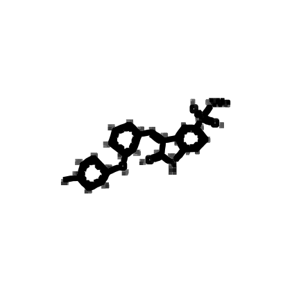 CNS(=O)(=O)c1ccc2c(c1)C(=Cc1cccc(Oc3ccc(C)cc3)c1)C(=O)N2